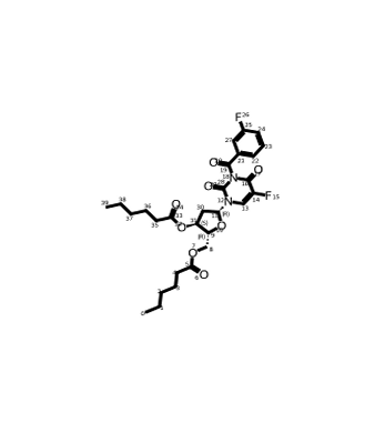 CCCCCC(=O)OC[C@H]1O[C@@H](n2cc(F)c(=O)n(C(=O)c3cccc(F)c3)c2=O)C[C@@H]1OC(=O)CCCCC